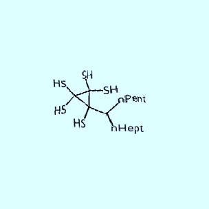 CCCCCCCC(CCCCC)C1(S)C(S)(S)C1(S)S